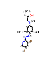 CCN(CC(O)CS(=O)(=O)O)c1ccc(N=Nc2ncc(Br)cc2Br)c(C(=O)O)c1.[NaH]